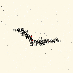 CC[C@H](CC[C@@]1(C)[C@H](C)CC[C@]2(C)[C@@H]1CC[C@@H]1C3=C(C(C)C)C(=O)C[C@]3(Nc3nnc(-c4ccc(C#N)c(CC(C)(CC(=O)O[C@H]5CC[C@]6(C)[C@H]7CC[C@@H]8C9=C(C(C)C)C(=O)C[C@]9(Nc9nnc(-c%10ncc(C#N)cn%10)o9)CC[C@@]8(C)[C@]7(C)CC[C@H]6C5(C)C)C(=O)O)n4)o3)CC[C@]12C)OC(=O)CC(C)(C)C(=O)O